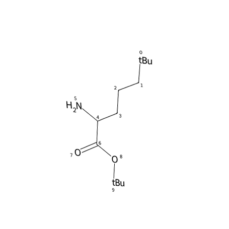 CC(C)(C)CCCC(N)C(=O)OC(C)(C)C